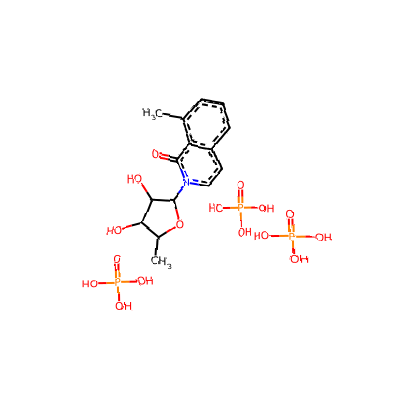 Cc1cccc2ccn(C3OC(C)C(O)C3O)c(=O)c12.O=P(O)(O)O.O=P(O)(O)O.O=P(O)(O)O